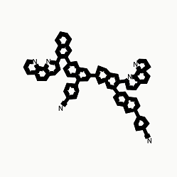 N#Cc1ccc(-c2ccc3cc(-c4cc5cc(-c6cc(-c7ccc(C#N)cc7)c7ccc(-c8cc9ccccc9cc8-c8ccc9ccc%10cccnc%10c9n8)cc7c6)ccc5cc4-c4ccc5ccc6cccnc6c5n4)ccc3c2)cc1